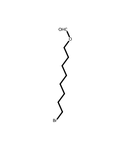 O=[C]OCCCCCCCCBr